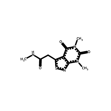 CNC(=O)Cc1snc2c1c(=O)n(C)c(=O)n2C